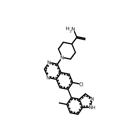 C=C(N)C1CCN(c2ncnc3cc(-c4c(C)ccc5[nH]ncc45)c(Cl)cc23)CC1